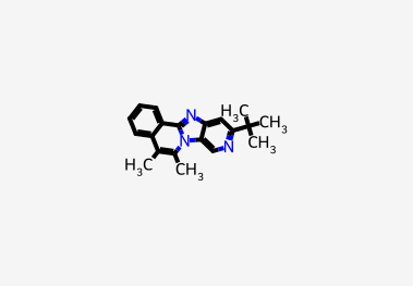 Cc1c(C)n2c3cnc(C(C)(C)C)cc3nc2c2ccccc12